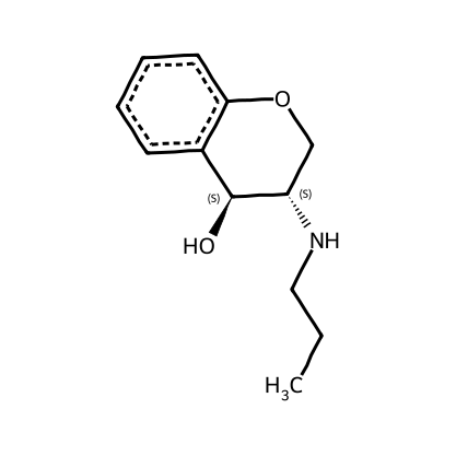 CCCN[C@H]1COc2ccccc2[C@@H]1O